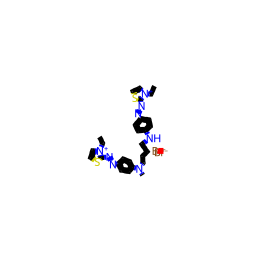 CC[n+]1ccsc1N=Nc1ccc(NCCCCN(C)c2ccc(N=Nc3scc[n+]3CC)cc2)cc1.[Br-].[Br-]